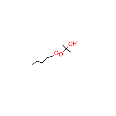 CCCCCOOC(C)(C)O